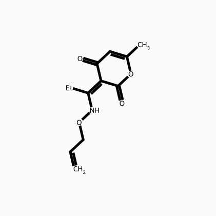 C=CCONC(CC)=C1C(=O)C=C(C)OC1=O